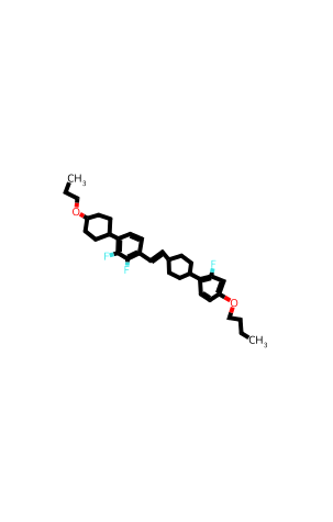 CCCCOc1ccc(C2CCC(/C=C/c3ccc(C4CCC(OCCC)CC4)c(F)c3F)CC2)c(F)c1